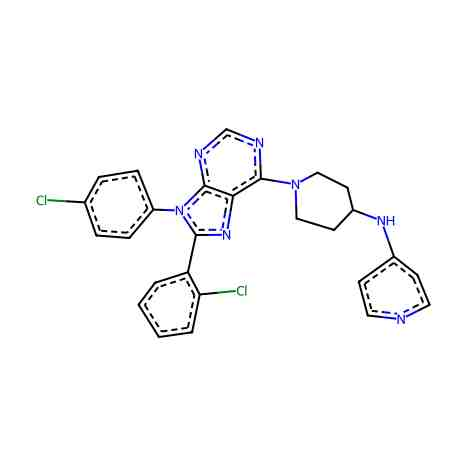 Clc1ccc(-n2c(-c3ccccc3Cl)nc3c(N4CCC(Nc5ccncc5)CC4)ncnc32)cc1